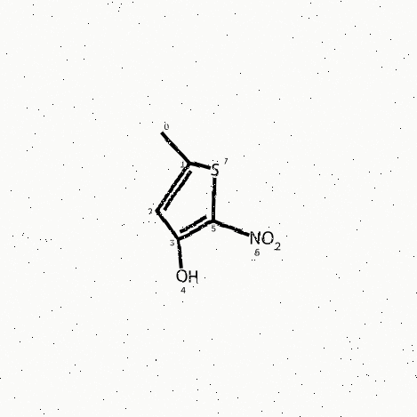 Cc1cc(O)c([N+](=O)[O-])s1